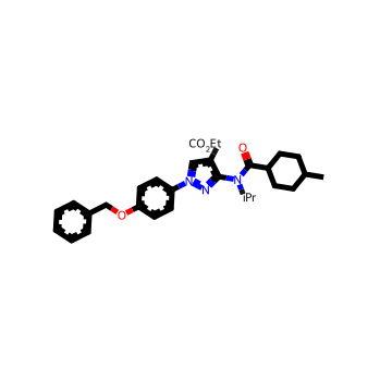 CCOC(=O)c1cn(-c2ccc(OCc3ccccc3)cc2)nc1N(C(=O)C1CCC(C)CC1)C(C)C